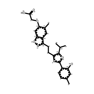 Cc1ccc(-c2nc(CCc3noc4cc(OCC(=O)O)c(C)cc34)c(C(C)C)o2)c(Cl)c1